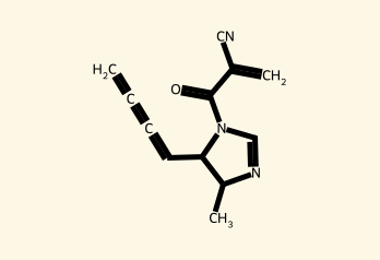 C=C=C=CC1C(C)N=CN1C(=O)C(=C)C#N